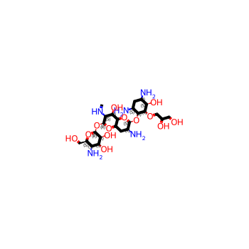 CN[C@@H]1[C@@H](O[C@H]2O[C@H](CO)[C@@H](N)[C@H](O)[C@H]2O)OC2C[C@@H](N)[C@@H](O[C@H]3[C@H](OCC(O)CO)[C@@H](O)[C@H](N)C[C@@H]3N)OC2[C@@H]1O